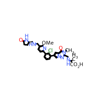 COc1nc(-c2cccc(-c3cc4c(=O)n(C)c(CNC(C)C(=O)O)nn4c3)c2Cl)ccc1CNC[C@H]1CCC(=O)N1